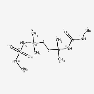 CC(C)(C)NC(=O)NC(C)(C)CCC(C)(C)NS(=O)(=O)NC(C)(C)C